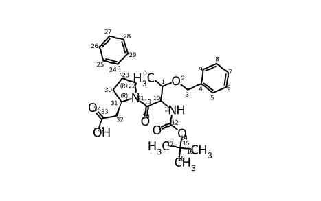 CC(OCc1ccccc1)C(NC(=O)OC(C)(C)C)C(=O)N1C[C@@H](c2ccccc2)C[C@@H]1CC(=O)O